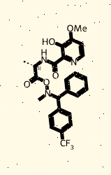 COc1ccnc(C(=O)N[C@@H](C)C(=O)ON(C)C(c2ccccc2)c2ccc(C(F)(F)F)cc2)c1O